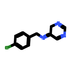 Clc1ccc(CN=C2C=NC=NC2)cc1